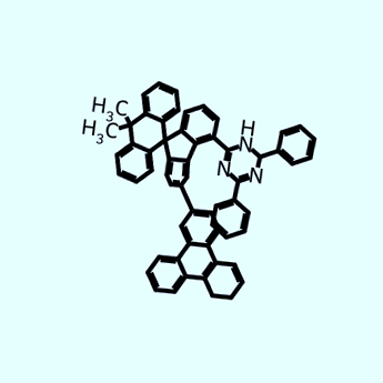 CC1(C)c2ccccc2C2(c3ccc(-c4ccc5c6c(c7ccccc7c5c4)CCC=C6)cc3-c3c(C4=NC(c5ccccc5)=NC(c5ccccc5)N4)cccc32)c2ccccc21